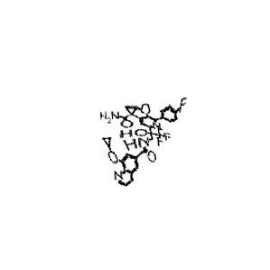 NC(=O)[C@@]12CC1Oc1c2cc(C(O)(CNC(=O)c2cc(OC3CC3)c3ncccc3c2)C(F)(F)F)nc1-c1ccc(F)cc1